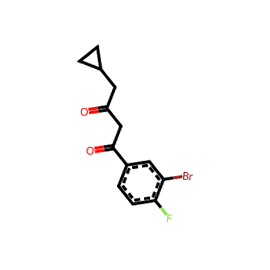 O=C(CC(=O)c1ccc(F)c(Br)c1)CC1CC1